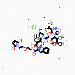 CC[C@H](C)[C@@H]([C@@H](CC(=O)N1CCC[C@H]1[C@H](OC)[C@@H](C)C(=O)N[C@@H](Cc1ccccc1)C(=O)NCCOCCN1C(=O)C=CC1=O)OC)N(C)C(=O)[C@@H](N)C(C)C.Cl